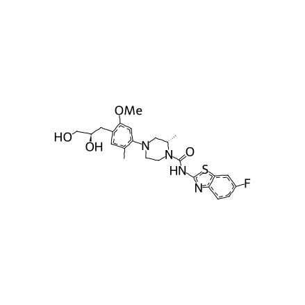 COc1cc(N2CCN(C(=O)Nc3nc4ccc(F)cc4s3)[C@@H](C)C2)c(C)cc1C[C@@H](O)CO